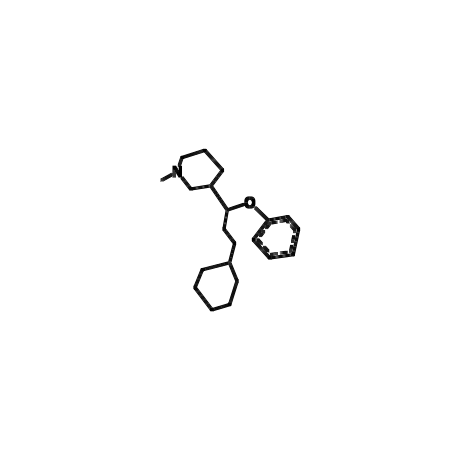 CN1CCCC(C(CCC2CCCCC2)Oc2ccccc2)C1